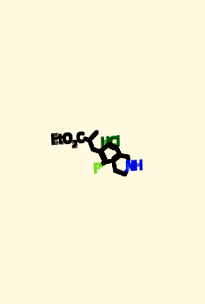 CCOC(=O)C(C)Cc1ccc2c(c1F)CCNC2.Cl